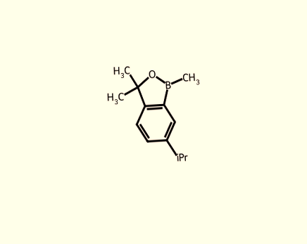 CB1OC(C)(C)c2ccc(C(C)C)cc21